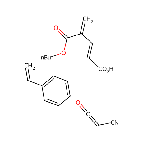 C=C(C=CC(=O)O)C(=O)OCCCC.C=Cc1ccccc1.N#CC=C=O